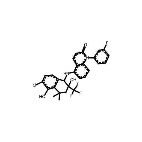 CC1(C)CC(O)(C(F)(F)F)C(Nc2cccc3c2ccc(=O)n3-c2cccc(F)c2)c2ccc(Cl)c(O)c21